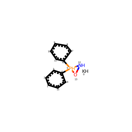 [KH].c1ccc([PH]2(c3ccccc3)NO2)cc1